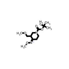 COCC1CN(C(=O)OC(C)(C)C)CC/C1=N/OC